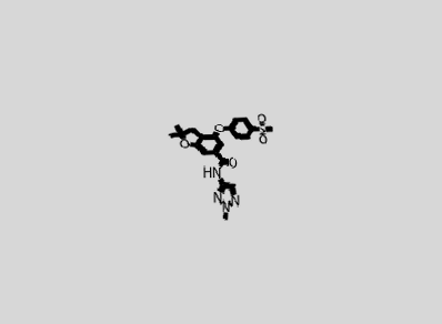 Cn1ncc(NC(=O)c2cc(Oc3ccc(S(C)(=O)=O)cc3)c3c(c2)OC(C)(C)C3)n1